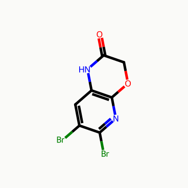 O=C1COc2nc(Br)c(Br)cc2N1